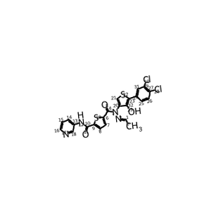 CC=NN(C(=O)c1ccc(C(=O)Nc2cccnc2)s1)c1csc(-c2ccc(Cl)c(Cl)c2)c1O